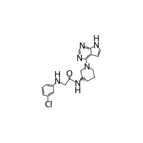 O=C(CNc1cccc(Cl)c1)N[C@@H]1CCCN(c2ncnc3[nH]ccc23)C1